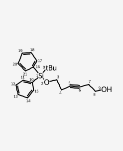 CC(C)(C)[Si](OCCC#CCCO)(c1ccccc1)c1ccccc1